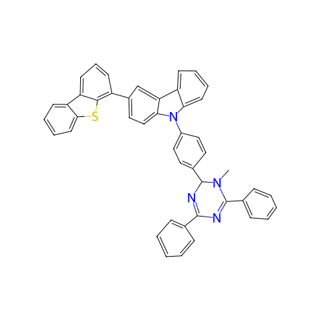 CN1C(c2ccccc2)=NC(c2ccccc2)=NC1c1ccc(-n2c3ccccc3c3cc(-c4cccc5c4sc4ccccc45)ccc32)cc1